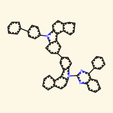 c1ccc(-c2ccc(-n3c4ccc(-c5ccc6c(c5)c5c7ccccc7ccc5n6-c5nc(-c6ccccc6)c6ccccc6n5)cc4c4c5ccccc5ccc43)cc2)cc1